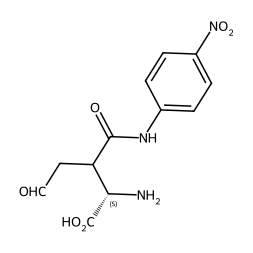 N[C@H](C(=O)O)C(CC=O)C(=O)Nc1ccc([N+](=O)[O-])cc1